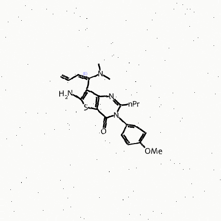 C=C/C=C(\c1c(N)sc2c(=O)n(-c3ccc(OC)cc3)c(CCC)nc12)N(C)C